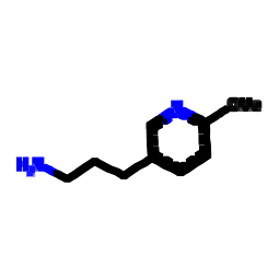 COc1ccc(CCCN)cn1